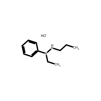 CCCNN(CC)c1ccccc1.Cl